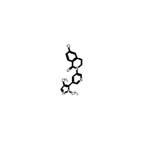 Cc1cnn(C)c1-c1cncc(N2CCc3cc(Cl)ccc3C2=O)c1